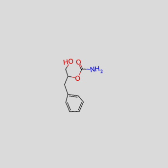 NC(=O)OC(CO)Cc1ccccc1